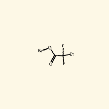 CCC(F)(F)C(=O)OBr